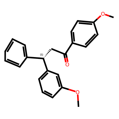 COc1ccc(C(=O)C[C@@H](c2ccccc2)c2cccc(OC)c2)cc1